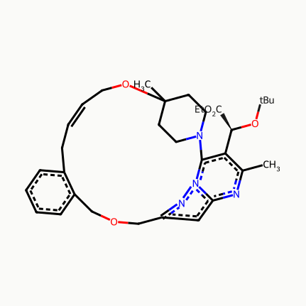 CCOC(=O)[C@@H](OC(C)(C)C)c1c(C)nc2cc3nn2c1N1CCC(C)(CC1)OCC=CCc1ccccc1COC3